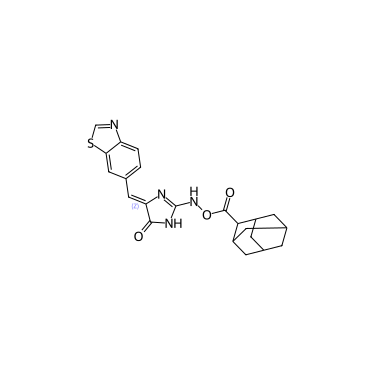 O=C1NC(NOC(=O)C2C3CC4CC(C3)CC2C4)=N/C1=C\c1ccc2ncsc2c1